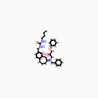 CCCCNC(=O)NCc1ccc2c(c1)CC(N(Cc1ccccc1)CC(O)COc1ccccc1)CCC2